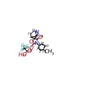 Cc1ccc(N2C(=O)OC3(CN4CCC3CC4)C2=O)cc1.O=C(O)C(F)(F)F